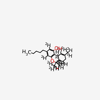 [2H]C1=C(C([2H])([2H])[2H])CC([2H])([2H])[C@]2([2H])[C@@H]1c1c(O)c([2H])c(CCCCC)c([2H])c1OC2(C([2H])([2H])[2H])C([2H])([2H])[2H]